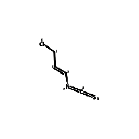 S=C=NC=CCCl